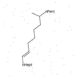 [CH2]CCCCCCC=CCCCCC(C)CCCC[CH2]